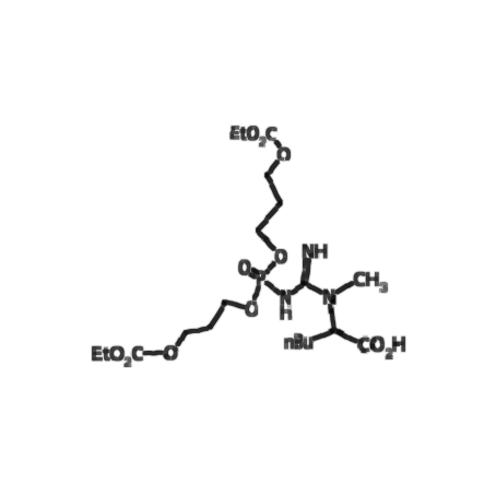 CCCCC(C(=O)O)N(C)C(=N)NP(=O)(OCCCOC(=O)OCC)OCCCOC(=O)OCC